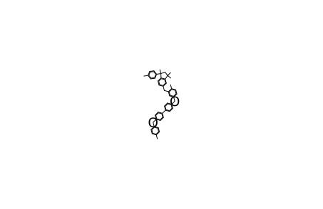 Cc1ccc(Oc2ccc(-c3ccc(Oc4ccc(C)c(Cc5ccc6c(c5)C(C)(C)CC6(C)c5ccc(C)cc5)c4)cc3)cc2)cc1